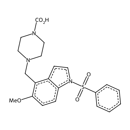 COc1ccc2c(ccn2S(=O)(=O)c2ccccc2)c1CN1CCN(C(=O)O)CC1